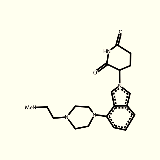 CNCCN1CCN(c2cccc3cn(C4CCC(=O)NC4=O)cc23)CC1